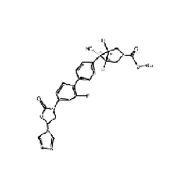 CC(C)(C)OC(=O)N1C[C@@H]2[C@H](C1)[C@@]2(C#N)c1ccc(-c2ccc(N3CC(n4cnnc4)OC3=O)cc2F)cn1